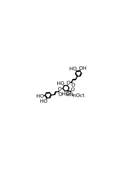 CCCCCCCCNC(=O)C1(O)C[C@@H](OC(=O)C=Cc2ccc(O)c(O)c2)C(O)[C@H](OC(=O)/C=C/c2ccc(O)c(O)c2)C1